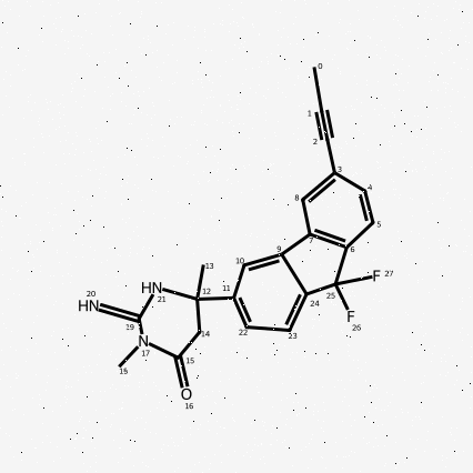 CC#Cc1ccc2c(c1)-c1cc(C3(C)CC(=O)N(C)C(=N)N3)ccc1C2(F)F